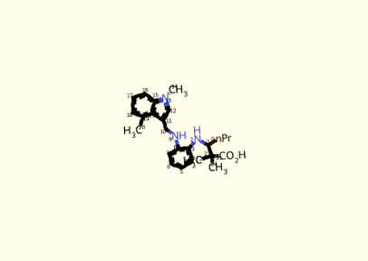 CCCC(Nc1ccccc1NCc1cn(C)c2cccc(C)c12)C(C)(C)C(=O)O